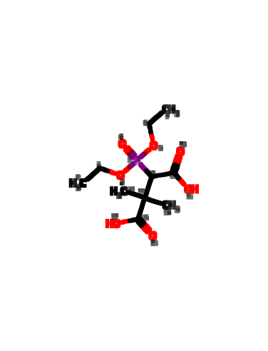 CCOP(=O)(OCC)C(C(=O)O)C(C)(C)C(=O)O